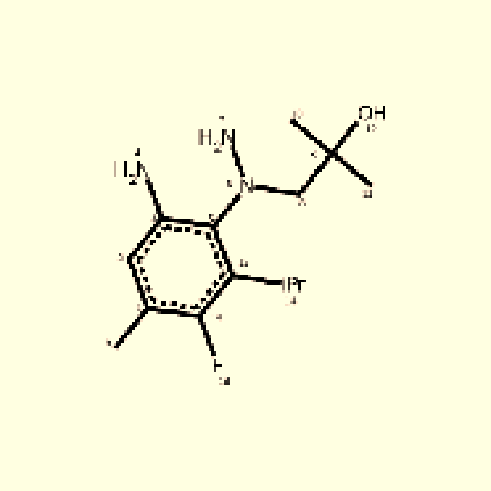 Cc1cc(N)c(N(N)CC(C)(C)O)c(C(C)C)c1F